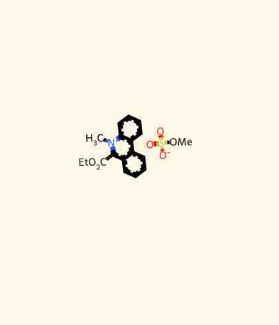 CCOC(=O)c1c2ccccc2c2ccccc2[n+]1C.COS(=O)(=O)[O-]